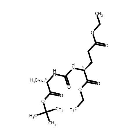 CCOC(=O)CC[C@H](NC(=O)N[C@@H](C)C(=O)OC(C)(C)C)C(=O)OCC